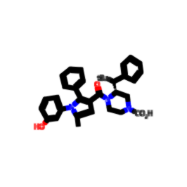 Cc1cc(C(=O)N2CCN(C(=O)O)C[C@H]2C(c2ccccc2)C(C)(C)C)c(-c2ccccc2)n1-c1cccc(O)c1